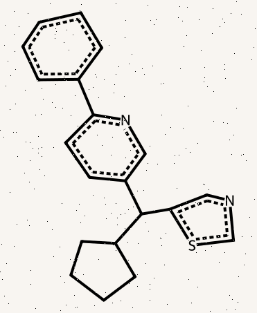 c1ccc(-c2ccc(C(c3cncs3)C3CCCC3)cn2)cc1